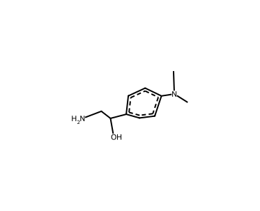 CN(C)c1ccc(C(O)CN)cc1